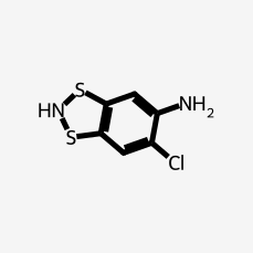 Nc1cc2c(cc1Cl)SNS2